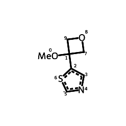 COC1(c2cn[c]s2)COC1